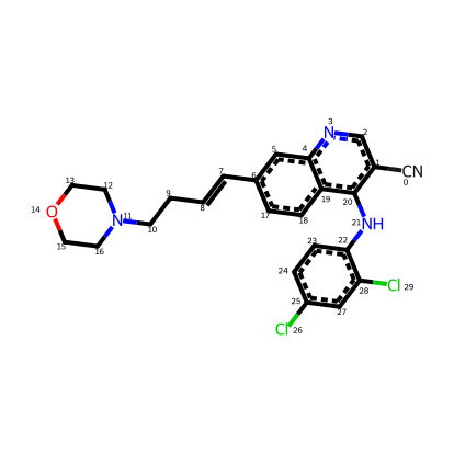 N#Cc1cnc2cc(/C=C/CCN3CCOCC3)ccc2c1Nc1ccc(Cl)cc1Cl